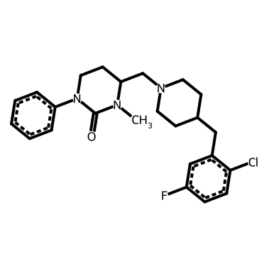 CN1C(=O)N(c2ccccc2)CCC1CN1CCC(Cc2cc(F)ccc2Cl)CC1